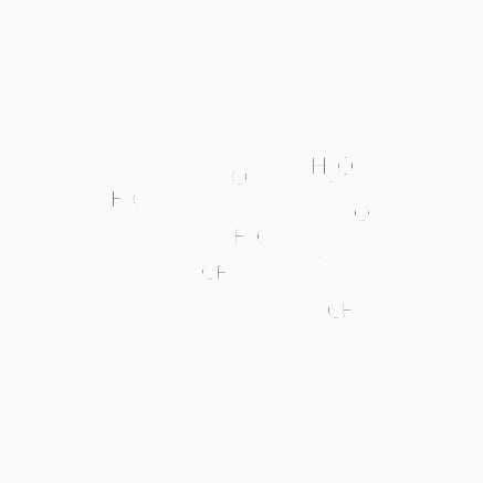 O.O=C(C(F)(F)F)C(F)(F)F.O=C(C(F)(F)F)C(F)(F)F